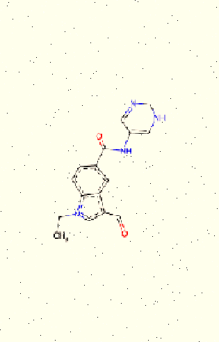 CCn1cc(C=O)c2cc(C(=O)NC3=CNCN=C3)ccc21